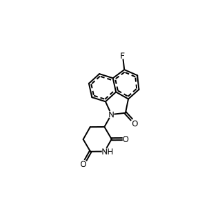 O=C1CCC(N2C(=O)c3ccc(F)c4cccc2c34)C(=O)N1